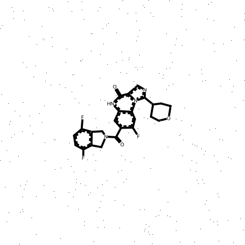 O=C(c1cc2[nH]c(=O)c3cnc(C4CCOCC4)n3c2cc1F)N1Cc2c(F)ccc(F)c2C1